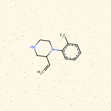 C=CC1CNCCN1c1ccccc1C(F)(F)F